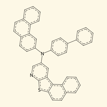 c1ccc(-c2ccc(N(c3ccc4ccc5ccccc5c4c3)c3cnc4sc5ccc6ccccc6c5c4c3)cc2)cc1